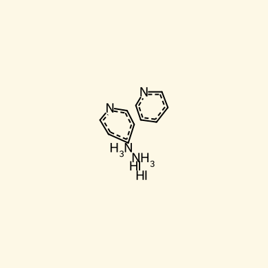 I.I.N.N.c1ccncc1.c1ccncc1